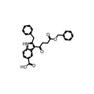 O=C(CCC(=O)c1c(Cc2ccccc2)[nH]c2ccc(C(=O)O)cc12)OCc1ccccc1